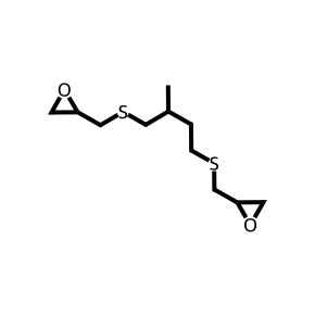 CC(CCSCC1CO1)CSCC1CO1